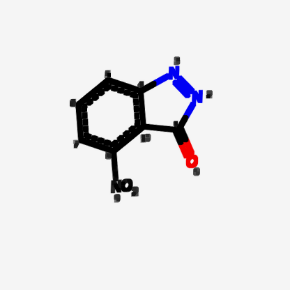 O=C1N=Nc2cccc([N+](=O)[O-])c21